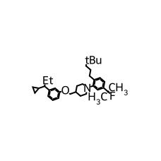 CCC(c1cccc(OCC2CCN(c3cc(C(C)(C)F)ccc3CCCC(C)(C)C)CC2)c1)C1CC1